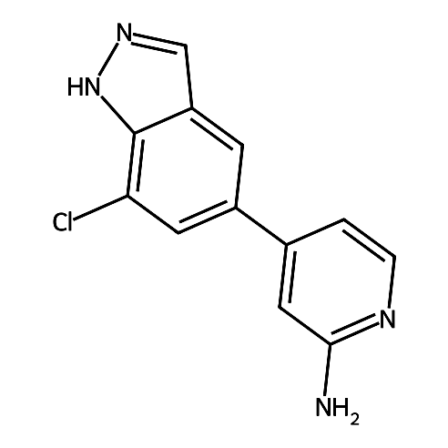 Nc1cc(-c2cc(Cl)c3[nH]ncc3c2)ccn1